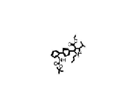 CCC[N+]1(C)N=C(C(C)C)C(C(=O)OCC)=C1c1ccc(-c2ccccc2NC(=O)OC(C)(C)C)cc1